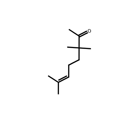 CC(=O)C(C)(C)CCC=C(C)C